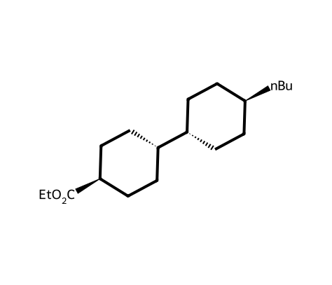 CCCC[C@H]1CC[C@H]([C@H]2CC[C@H](C(=O)OCC)CC2)CC1